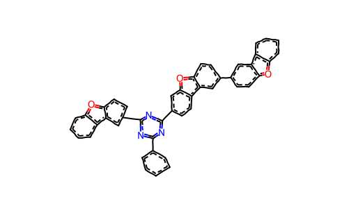 c1ccc(-c2nc(-c3ccc4c(c3)oc3ccc(-c5ccc6oc7ccccc7c6c5)cc34)nc(-c3ccc4oc5ccccc5c4c3)n2)cc1